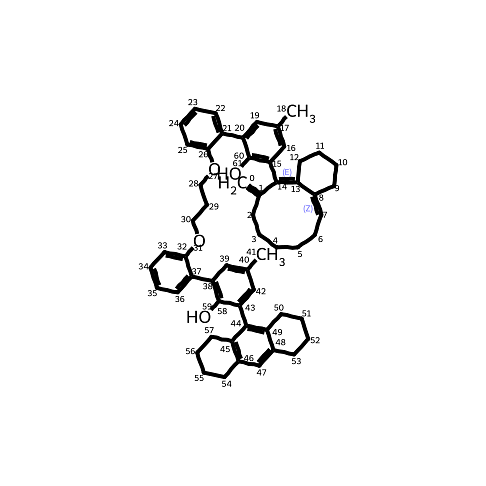 C=C1CCCCC/C=C2/CCCC/C2=C/1c1cc(C)cc(-c2ccccc2OCCCOc2ccccc2-c2cc(C)cc(-c3c4c(cc5c3CCCC5)CCCC4)c2O)c1O